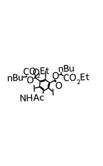 CCCCC(OC(=O)c1c(I)c(NC(C)=O)c(I)c(C(=O)OC(CCCC)C(=O)OCC)c1I)C(=O)OCC